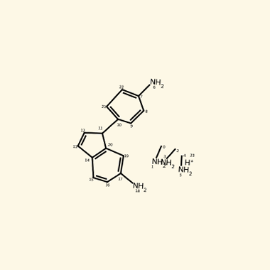 CN.CN.CN.Nc1ccc(C2C=Cc3ccc(N)cc32)cc1.[H+]